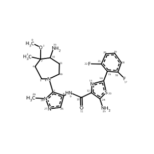 COC1(C)CCN(c2c(NC(=O)c3nc(-c4c(F)cccc4F)sc3N)cnn2C)CCC1N